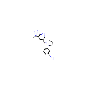 Cc1n[nH]c2ncc(C(=O)N3CCC[C@@H]3c3cccc(C#N)c3)cc12